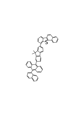 CC1(C)c2cc(-c3c4ccccc4c(-c4cccc5ccccc45)c4ccccc34)ccc2-c2ccc(-c3cccc4c3sc3c5ccccc5ccc43)cc21